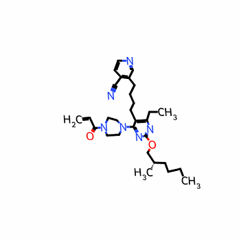 C=CC(=O)N1CCN(c2nc(OC[C@@H](C)CCCC)nc(CC)c2CCCCc2cnccc2C#N)CC1